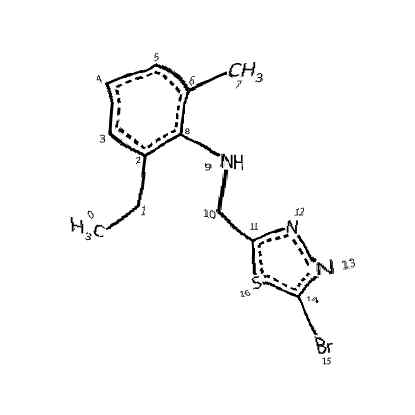 CCc1cccc(C)c1NCc1nnc(Br)s1